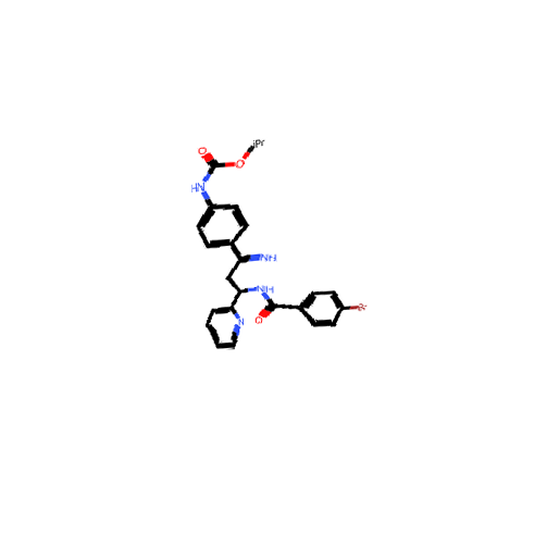 CC(C)OC(=O)Nc1ccc(C(=N)CC(NC(=O)c2ccc(Br)cc2)c2ccccn2)cc1